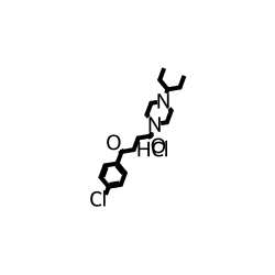 CCC(CC)N1CCN(C(=O)CCC(=O)c2ccc(Cl)cc2)CC1.Cl